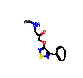 CC(C)(C)NCC(=O)COc1nsnc1-c1ccccc1